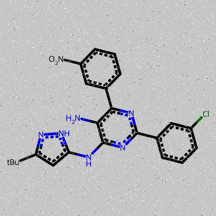 CC(C)(C)c1cc(Nc2nc(-c3cccc(Cl)c3)nc(-c3cccc([N+](=O)[O-])c3)c2N)[nH]n1